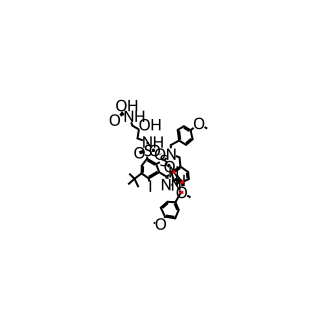 COc1ccc(CN(Cc2ccc(OC)cc2)S(=O)(=O)c2c(S(=O)(=O)NCC(O)CNC(=O)O)cc(C(C)(C)C)c(I)c2-c2nnn(Cc3ccc(OC)cc3)n2)cc1